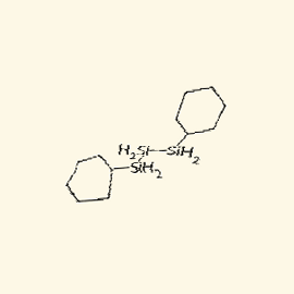 C1CCC([SiH2][SiH2][SiH2]C2CCCCC2)CC1